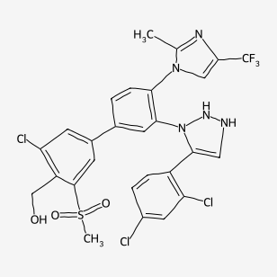 Cc1nc(C(F)(F)F)cn1-c1ccc(-c2cc(Cl)c(CO)c(S(C)(=O)=O)c2)cc1N1NNC=C1c1ccc(Cl)cc1Cl